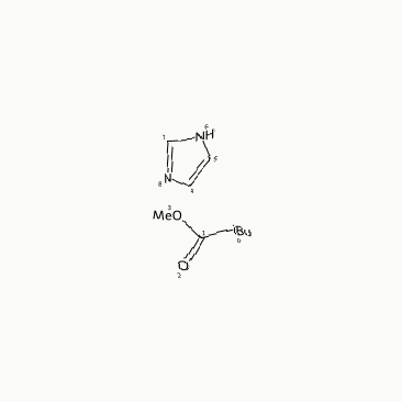 CCC(C)C(=O)OC.c1c[nH]cn1